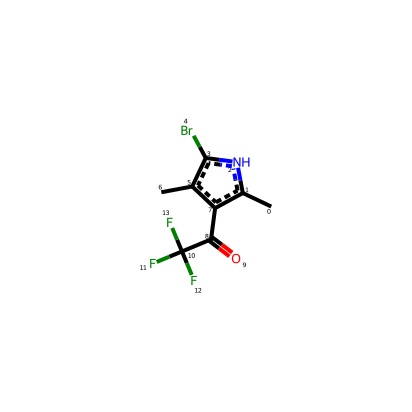 Cc1[nH]c(Br)c(C)c1C(=O)C(F)(F)F